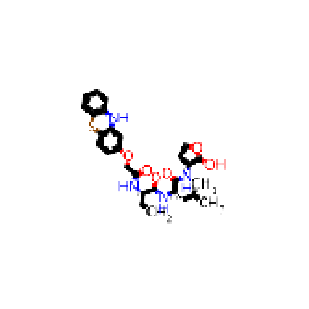 C=C[C@H](NC(=O)COc1ccc2c(c1)Nc1ccccc1S2)C(=O)N[C@@H](CC(C)C)C(=O)N[C@H]1CCOC1O